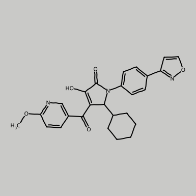 COc1ccc(C(=O)C2=C(O)C(=O)N(c3ccc(-c4ccon4)cc3)C2C2CCCCC2)cn1